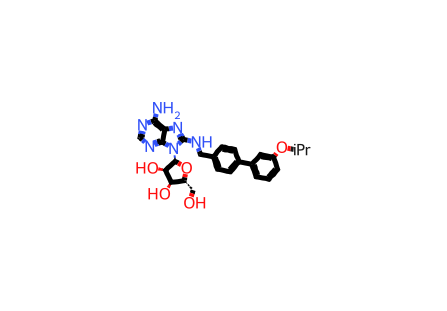 CC(C)Oc1cccc(-c2ccc(CNc3nc4c(N)ncnc4n3[C@@H]3O[C@H](CO)[C@@H](O)[C@H]3O)cc2)c1